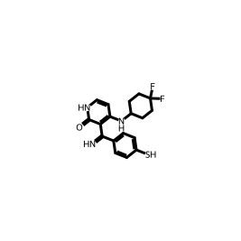 N=C(c1ccc(S)cc1)c1c(NC2CCC(F)(F)CC2)cc[nH]c1=O